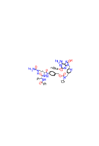 CCCCOc1nc(N)c2nc(O)n(Cc3ccc(CN(C(=O)OCc4ccc(NC(=O)[C@H](CCCNC(N)=O)NC(=O)C(NC(=O)C(C)C)C(C)C)cc4)C4CCC4)cn3)c2n1